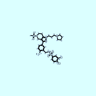 CS(=O)(=O)N1CCc2c(c(-c3ccc(C(F)(F)F)c(CNS(=O)(=O)c4ccc(Cl)c(Cl)c4)c3)nn2CCCN2CCCC2)C1